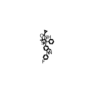 CC1(C)SN(c2ccc3c(cnn3-c3ccc(F)cc3)c2)[C@H](c2ccccc2)[C@H]1NC(=O)C1CC1